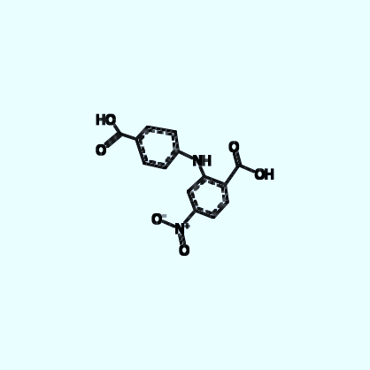 O=C(O)c1ccc(Nc2cc([N+](=O)[O-])ccc2C(=O)O)cc1